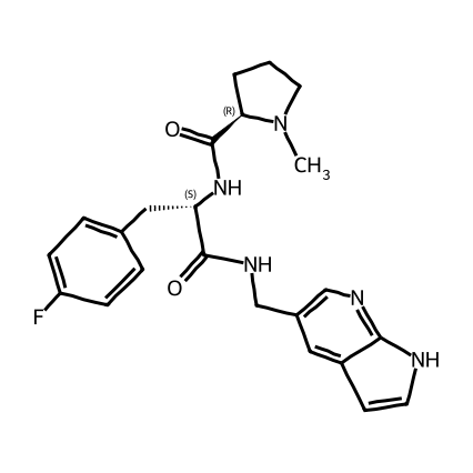 CN1CCC[C@@H]1C(=O)N[C@@H](Cc1ccc(F)cc1)C(=O)NCc1cnc2[nH]ccc2c1